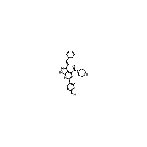 O=C(c1cc(-c2ccc(O)cc2Cl)nc2[nH]nc(C=Cc3ccccc3)c12)N1CCNCC1